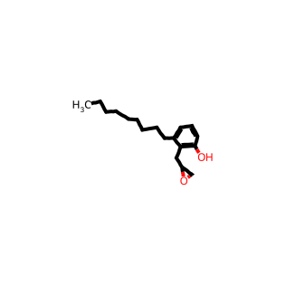 CCCCCCCCCc1cccc(O)c1CC1CO1